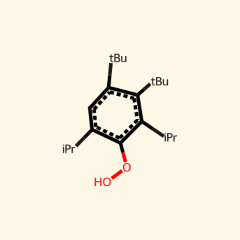 CC(C)c1cc(C(C)(C)C)c(C(C)(C)C)c(C(C)C)c1OO